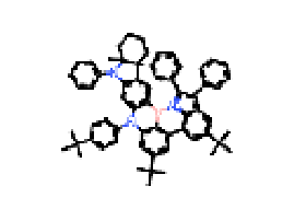 CC(C)(C)c1ccc(N2c3cc4c(cc3B3c5c(cc(C(C)(C)C)cc52)-c2cc(C(C)(C)C)cc5c(-c6ccccc6)c(-c6ccccc6)n3c25)C2(C)CCCCC2(C)N4c2ccccc2)cc1